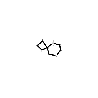 C1CC2(C1)COCCN2